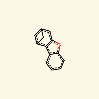 c1ccc2c(c1)oc1cc3cc(c12)C3